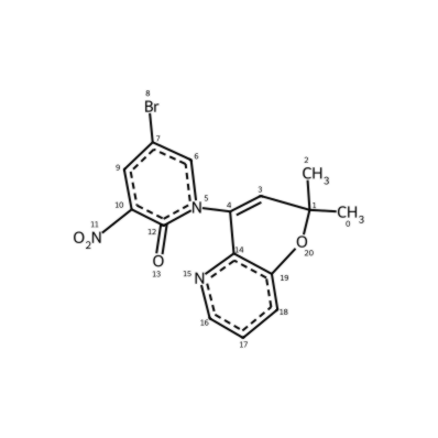 CC1(C)C=C(n2cc(Br)cc([N+](=O)[O-])c2=O)c2ncccc2O1